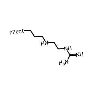 CCCCCCCCNCCNC(=N)N